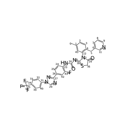 Cc1ccc(Cc2cccnc2)c(N2C(=O)CS/C2=N\C(=O)Nc2ccc(-c3ncn(-c4ccc(C(F)(F)F)cc4)n3)cc2F)c1